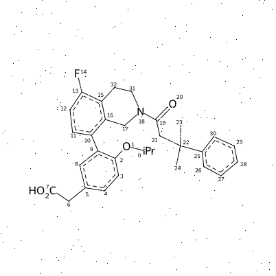 CC(C)Oc1ccc(CC(=O)O)cc1-c1ccc(F)c2c1CN(C(=O)CC(C)(C)c1ccccc1)CC2